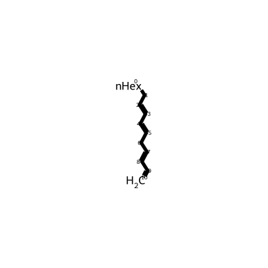 [CH2]CCCCCCC=CC=CCC=CC=C